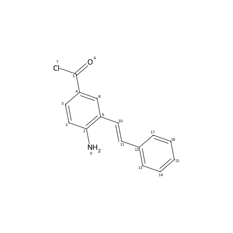 Nc1ccc(C(=O)Cl)cc1C=Cc1ccccc1